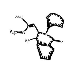 C=N/C(=C\c1c(C)c2ccccc2c(=O)n1-c1ccccc1)SC